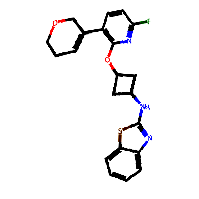 Fc1ccc(C2=CCCOC2)c(OC2CC(Nc3nc4ccccc4s3)C2)n1